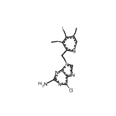 Cc1cnc(Cn2cnc3c(Cl)nc(N)nc32)c(C)c1I